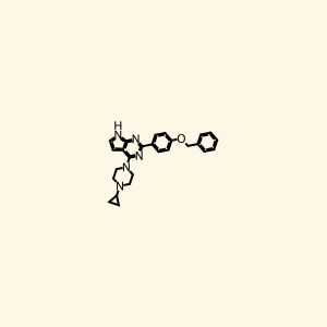 c1ccc(COc2ccc(-c3nc(N4CCN(C5CC5)CC4)c4cc[nH]c4n3)cc2)cc1